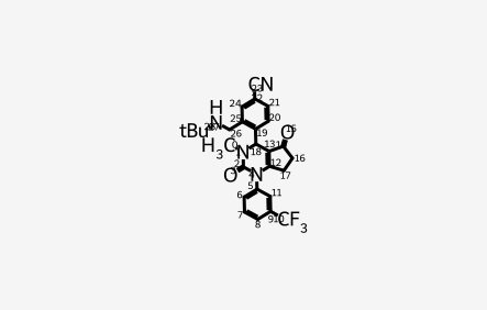 CN1C(=O)N(c2cccc(C(F)(F)F)c2)C2=C(C(=O)CC2)C1c1ccc(C#N)cc1CNC(C)(C)C